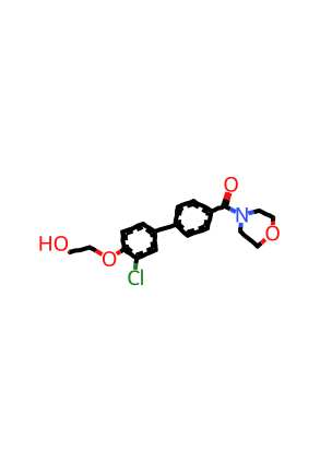 O=C(c1ccc(-c2ccc(OCCO)c(Cl)c2)cc1)N1CCOCC1